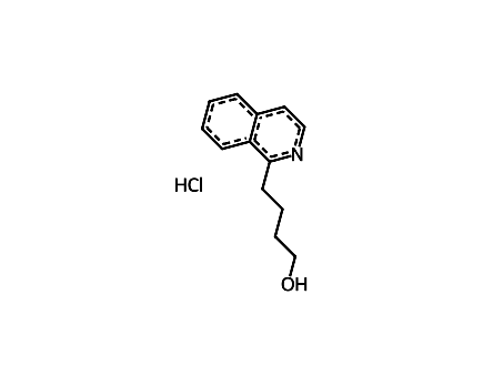 Cl.OCCCCc1nccc2ccccc12